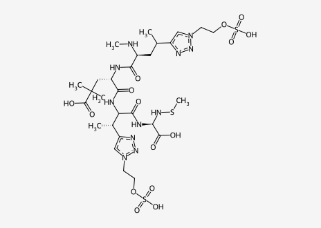 CN[C@@H](CC(C)c1cn(CCOS(=O)(=O)O)nn1)C(=O)N[C@@H](CC(C)(C)C(=O)O)C(=O)NC(C(=O)N[C@@H](NSC)C(=O)O)[C@@H](C)c1cn(CCOS(=O)(=O)O)nn1